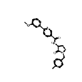 COc1cccc(-c2ccc(C(=O)NC3CCN(Cc4ccc(C)cc4)C3=O)cn2)c1